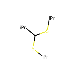 CC(C)SC(SC(C)C)C(C)C